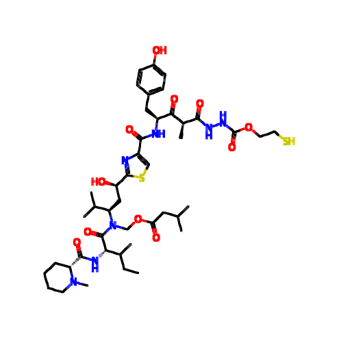 CCC(C)[C@H](NC(=O)[C@H]1CCCCN1C)C(=O)N(COC(=O)CC(C)C)[C@H](C[C@@H](O)c1nc(C(=O)N[C@@H](Cc2ccc(O)cc2)C(=O)[C@H](C)C(=O)NNC(=O)OCCS)cs1)C(C)C